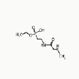 CCOP(=O)(O)CCNC(=O)CNC